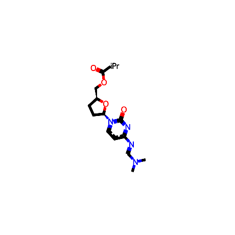 CC(C)C(=O)OC[C@@H]1CC[C@H](n2ccc(/N=C/N(C)C)nc2=O)O1